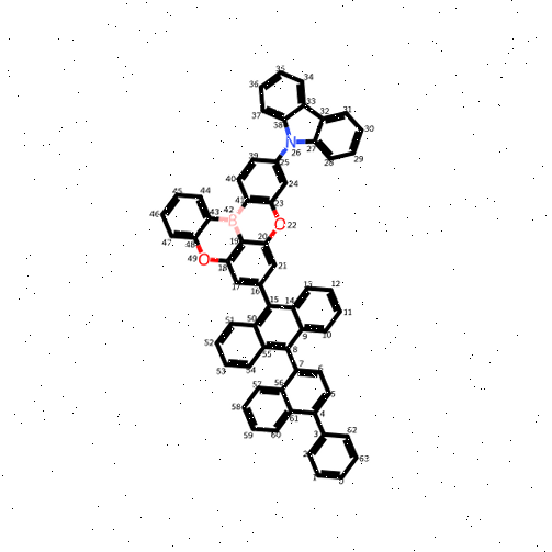 c1ccc(-c2ccc(-c3c4ccccc4c(-c4cc5c6c(c4)Oc4cc(-n7c8ccccc8c8ccccc87)ccc4B6c4ccccc4O5)c4ccccc34)c3ccccc23)cc1